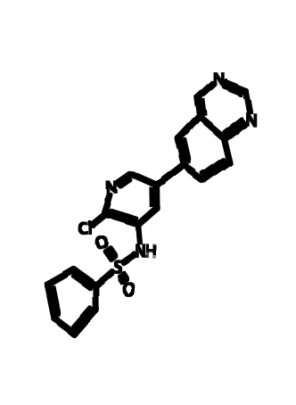 O=S(=O)(Nc1cc(-c2ccc3ncncc3c2)cnc1Cl)c1ccccc1